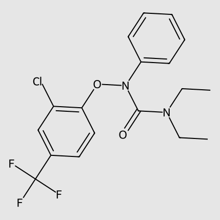 CCN(CC)C(=O)N(Oc1ccc(C(F)(F)F)cc1Cl)c1ccccc1